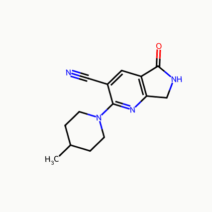 CC1CCN(c2nc3c(cc2C#N)C(=O)NC3)CC1